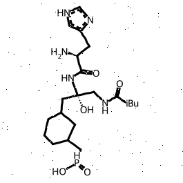 CCC(C)C(=O)NC[C@@](O)(CC1CCCC(C[PH](=O)O)C1)NC(=O)[C@@H](N)Cc1c[nH]cn1